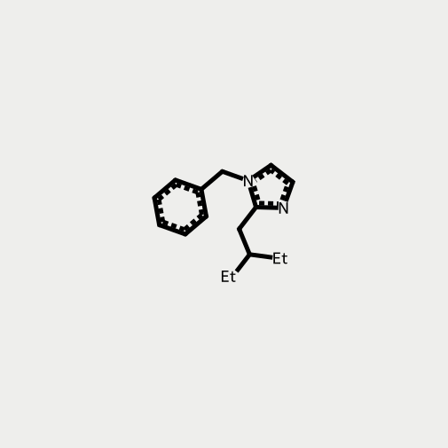 CCC(CC)Cc1nccn1Cc1ccccc1